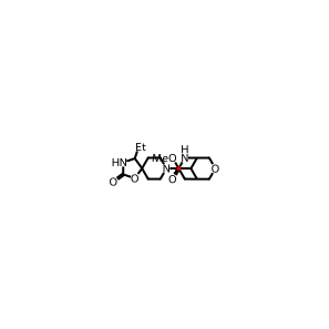 CCC1NC(=O)OC12CCN(C1CC3COCC(N1)C3C(=O)OC)CC2